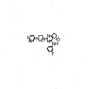 [O-][S+]1CCc2nc(N3CCN(c4ccnnc4)CC3)nc(Nc3cccc(F)c3)c21